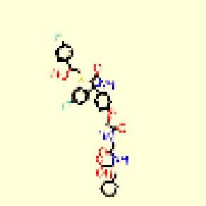 O=C(COc1ccc([C@]2(c3ccc(F)cc3)NC(=O)[C@@H]2SCC(O)c2ccc(F)cc2)cc1)NCC(=O)N[C@H](CC1CCCCC1)C(=O)O